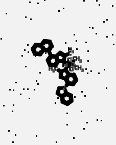 CC1=Cc2c(-c3cccc4ccccc34)cccc2[CH]1[Hf]([Cl])([Cl])([CH]1C(C)=Cc2c1cccc2N1CCc2ccccc21)=[Si](C)C